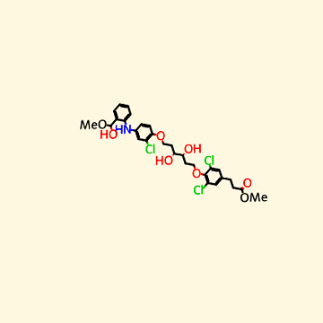 COC(=O)CCc1cc(Cl)c(OCC[C@@H](O)[C@H](O)CCOc2ccc(Nc3ccccc3C(O)OC)cc2Cl)c(Cl)c1